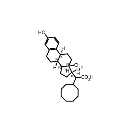 C[C@]12CC[C@@H]3c4ccc(O)cc4CC[C@H]3[C@@H]1CC[C@@]2(O)C(C(=O)O)C1CCCCCCC1